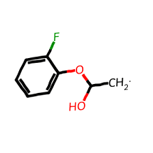 [CH2]C(O)Oc1ccccc1F